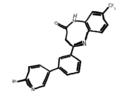 CC(C)c1ccc(-c2cccc(C3=Nc4ccc(C(F)(F)F)cc4NC(=O)C3)c2)cn1